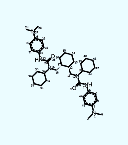 CN(C)c1ccc(NC(=O)N(C[C@@H]2CCCC[C@H]2CN(C(=O)Nc2ccc(N(C)C)cc2)C2CCCCC2)C2CCCCC2)cc1